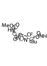 CO[C@@H]1COCC[C@@H]1N[C@@H]1CC[C@@](C(=O)N2CCc3nc(C(CCCOC(N)=O)C(C)(C)C)c(C(F)(F)F)cc3C2)(C(C)C)C1